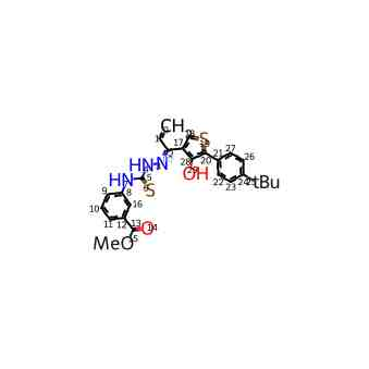 C=C/C(=N\NC(=S)Nc1cccc(C(=O)OC)c1)c1csc(-c2ccc(C(C)(C)C)cc2)c1O